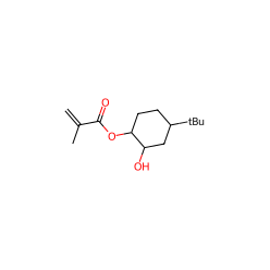 C=C(C)C(=O)OC1CCC(C(C)(C)C)CC1O